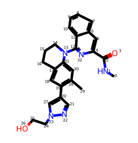 CNC(=O)c1cc2ccccc2c(N2CCCc3cc(-c4cnn(CCO)c4)c(C)cc32)n1